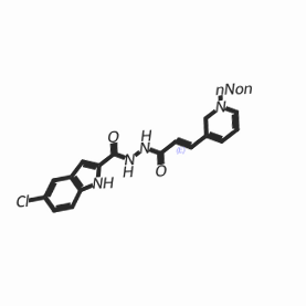 CCCCCCCCCN1C=CC=C(/C=C/C(=O)NNC(=O)c2cc3cc(Cl)ccc3[nH]2)C1